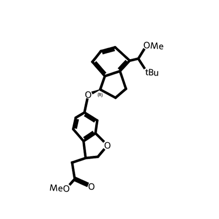 COC(=O)CC1COc2cc(O[C@@H]3CCc4c(C(OC)C(C)(C)C)cccc43)ccc21